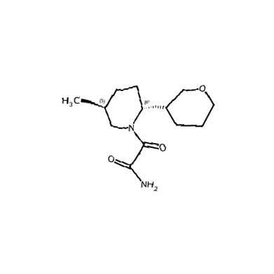 C[C@H]1CC[C@H](C2CCCOC2)N(C(=O)C(N)=O)C1